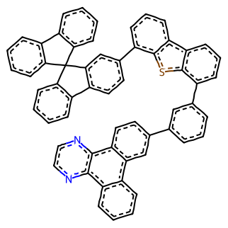 c1cc(-c2ccc3c(c2)c2ccccc2c2nccnc32)cc(-c2cccc3c2sc2c(-c4ccc5c(c4)C4(c6ccccc6-c6ccccc64)c4ccccc4-5)cccc23)c1